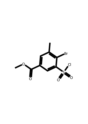 COC(=O)c1cc(C)c(Br)c(S(=O)(=O)Cl)c1